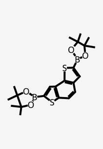 CC1(C)OB(c2cc3c(ccc4cc(B5OC(C)(C)C(C)(C)O5)sc43)s2)OC1(C)C